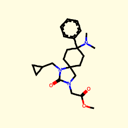 COC(=O)CN1CC2(CCC(c3ccccc3)(N(C)C)CC2)N(CC2CC2)C1=O